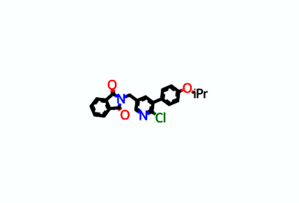 CC(C)Oc1ccc(-c2cc(CN3C(=O)c4ccccc4C3=O)cnc2Cl)cc1